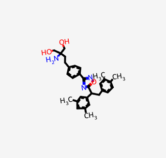 Cc1cc(C)cc(C(Cc2ccc(C)c(C)c2)c2nc(-c3ccc(CCC(N)(CO)CO)cc3)no2)c1